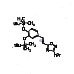 CCCc1noc(/C=C/c2ccc(O[Si](C)(C)C(C)(C)C)c(O[Si](C)(C)C(C)(C)C)c2)n1